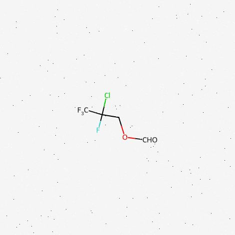 O=COCC(F)(Cl)C(F)(F)F